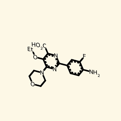 CCOc1c(C(=O)O)nc(-c2ccc(N)c(F)c2)nc1N1CCOCC1